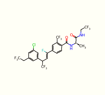 C[C@@H](NC(=O)c1ccc(/C(F)=C/C(c2cc(Cl)cc(CC(F)(F)F)c2)C(F)(F)F)cc1C(F)(F)F)C(=O)NCC(F)(F)F